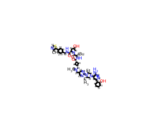 CCC1CN(c2cc(-c3ccccc3O)nnc2N)CC(C)N1c1ncc(CN(C)C[C@H]2C[C@@H](C(=O)N[C@H](C(=O)N3C[C@H](O)C[C@H]3C(=O)NCc3ccc(-c4scnc4C)cc3)C(C)(C)C)C2)cn1